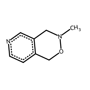 CN1Cc2cnccc2CO1